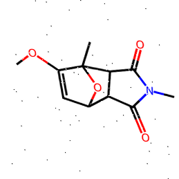 COC1=CC2OC1(C)C1C(=O)N(C)C(=O)C21